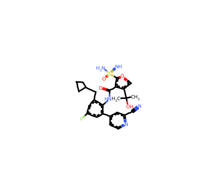 CC(C)(O)c1coc(S(=N)(N)=O)c1C(=O)Nc1c(CC2CCC2)cc(F)cc1-c1ccnc(C#N)c1